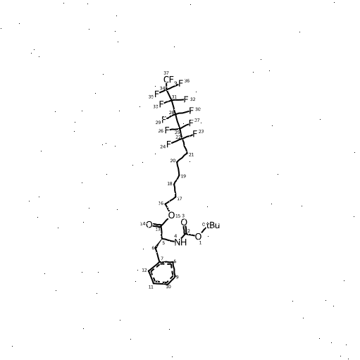 CC(C)(C)OC(=O)N[C@@H](Cc1ccccc1)C(=O)OCCCCCCC(F)(F)C(F)(F)C(F)(F)C(F)(F)C(F)(F)C(F)(F)F